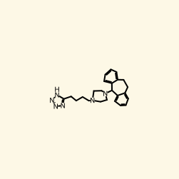 c1ccc2c(c1)CCc1ccccc1C2N1CCN(CCCCc2nnn[nH]2)CC1